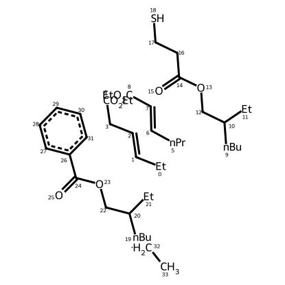 CCC=CCC(=O)OCC.CCCC=CC(=O)OCC.CCCCC(CC)COC(=O)CCS.CCCCC(CC)COC(=O)c1ccccc1.[CH2]C